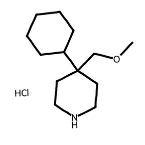 COCC1(C2CCCCC2)CCNCC1.Cl